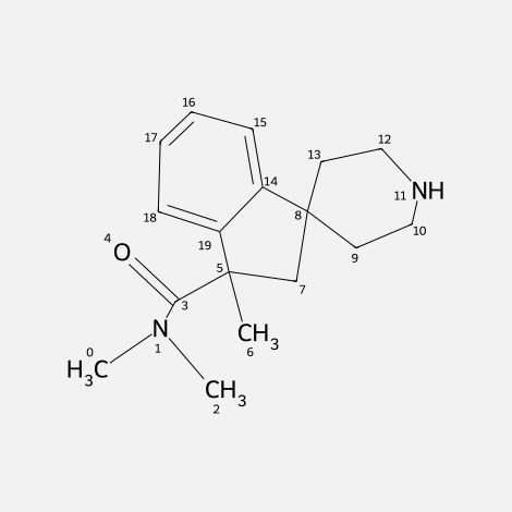 CN(C)C(=O)C1(C)CC2(CCNCC2)c2ccccc21